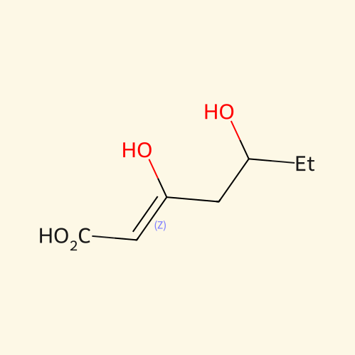 CCC(O)C/C(O)=C/C(=O)O